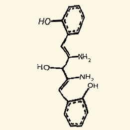 NC(=Cc1ccccc1O)C(O)C(N)=Cc1ccccc1O